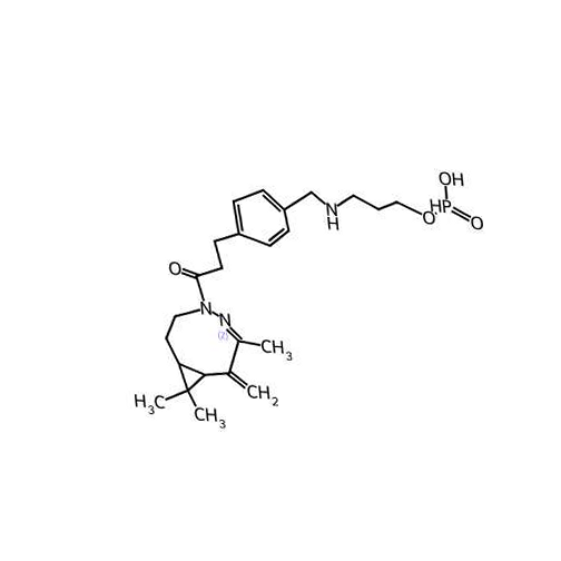 C=C1/C(C)=N\N(C(=O)CCc2ccc(CNCCCO[PH](=O)O)cc2)CCC2C1C2(C)C